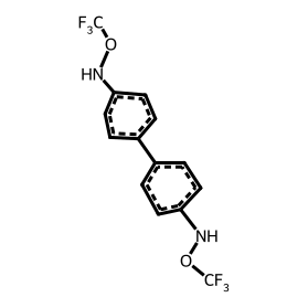 FC(F)(F)ONc1ccc(-c2ccc(NOC(F)(F)F)cc2)cc1